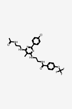 CC(=O)NCCNc1nc(-c2ccc(Cl)cc2)nc(NCCNC(=O)c2ccc(OC(F)(F)F)cc2)c1C